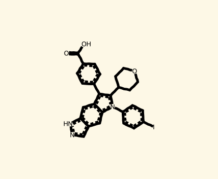 O=C(O)c1ccc(-c2c(C3CCOCC3)n(-c3ccc(I)cc3)c3cc4cn[nH]c4cc23)cc1